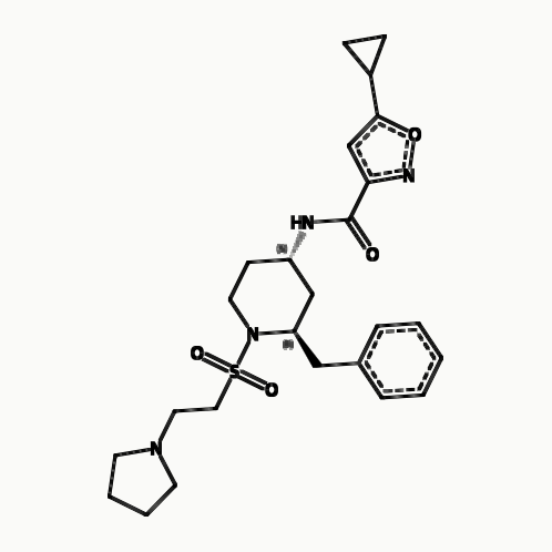 O=C(N[C@H]1CCN(S(=O)(=O)CCN2CCCC2)[C@H](Cc2ccccc2)C1)c1cc(C2CC2)on1